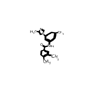 Cc1cn(-c2cc(NC(=O)c3ccc(C)c(C)c3)cc(C(F)(F)F)c2)cn1